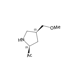 COC[C@@H]1CN[C@H](C(C)=O)C1